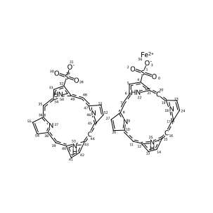 O=S(=O)([O-])c1cc2cc3nc(cc4ccc(cc5nc(cc1[nH]2)C=C5)[nH]4)C=C3.O=S(=O)([O-])c1cc2cc3nc(cc4ccc(cc5nc(cc1[nH]2)C=C5)[nH]4)C=C3.[Fe+2]